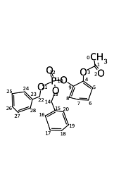 CC(=O)Oc1ccccc1OP(=O)(OCc1ccccc1)OCc1ccccc1